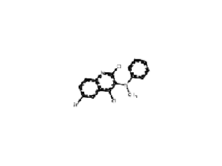 CN(c1ccccc1)c1c(Cl)nc2ccc(Br)cc2c1Cl